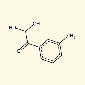 Cc1cccc(C(=O)C(O)O)c1